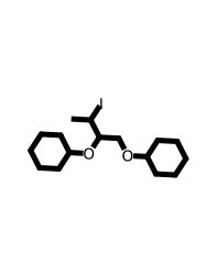 CC(I)C(COC1CCCCC1)OC1CCCCC1